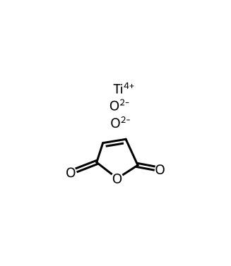 O=C1C=CC(=O)O1.[O-2].[O-2].[Ti+4]